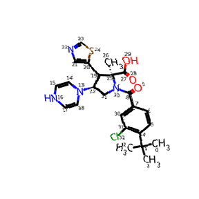 CC(C)(C)c1ccc(C(=O)N2C[C@@H](N3C=CNC=C3)C(c3cncs3)[C@@]2(C)C(=O)O)cc1Cl